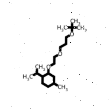 CC1CCC(C(C)C)C(OCCOCCCOC(C)(C)C)C1